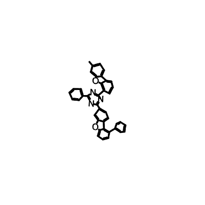 Cc1ccc2c(c1)oc1c(-c3nc(-c4ccccc4)nc(-c4ccc5c(c4)oc4cccc(-c6ccccc6)c45)n3)cccc12